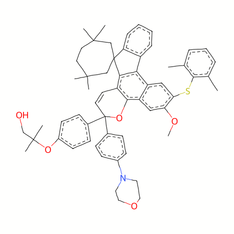 COc1cc2c3c(c4c(c2cc1Sc1c(C)cccc1C)-c1ccccc1C41CC(C)(C)CCC(C)(C)C1)C=CC(c1ccc(OC(C)(C)CO)cc1)(c1ccc(N2CCOCC2)cc1)O3